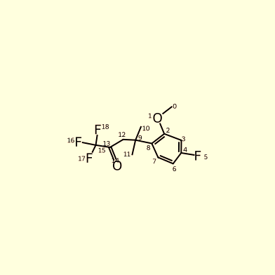 COc1cc(F)ccc1C(C)(C)CC(=O)C(F)(F)F